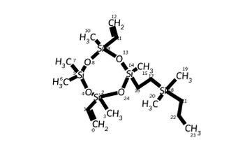 C=C[Si]1(C)O[Si](C)(C)O[Si](C)(C=C)O[Si](C)(CC[Si](C)(C)CCC)O1